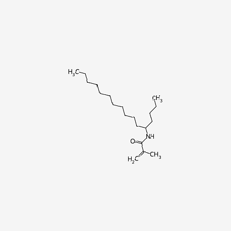 C=C(C)C(=O)NC(CCCC)CCCCCCCCCCC